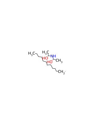 CC(O)NC(C)O.[CH2]CCCCCCCCCCC